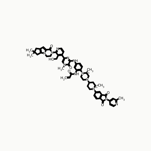 C=CC(=O)Nc1cc(Nc2nc(-c3ccnc(N4CCn5c(cc6c5CC(C)(C)C6)C4=O)c3CO)cn(C)c2=O)ccc1N1CCN(C2CCN(c3ccc4c(c3)C(=O)N(c3ccnc(C)c3)C4=O)[C@@H](C)C2)C[C@@H]1C